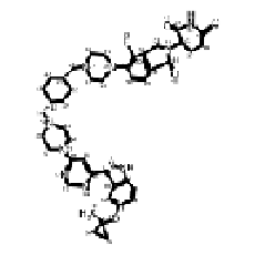 CC1(Oc2ccc3[nH]nc(-c4cc(N5CCN(C[C@H]6CC[C@H](CN7CCN(c8ccc9c(c8F)CN(C8CCC(=O)NC8=O)C9=O)CC7)CC6)CC5)ncn4)c3c2)CC1